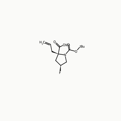 C=CC[C@]1(C(=O)OC)C[C@H](F)CN1C(=O)OC(C)(C)C